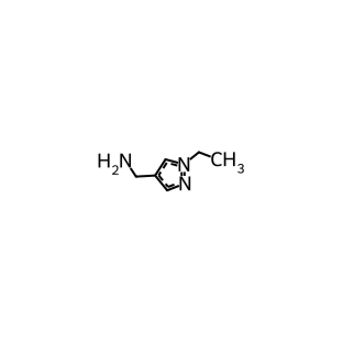 CCn1cc(CN)cn1